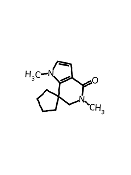 CN1CC2(CCCC2)c2c(ccn2C)C1=O